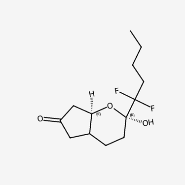 CCCCC(F)(F)[C@@]1(O)CCC2CC(=O)C[C@H]2O1